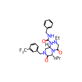 CCC[C@H]1C(=O)N(Cc2cccc(C(F)(F)F)c2)C[C@H]2N1C(=O)CN(CC)N2C(=O)NCc1ccccc1